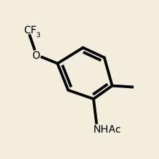 CC(=O)Nc1cc(OC(F)(F)F)ccc1C